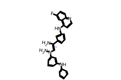 N/C(=C\N(N)c1cccc(Nc2ccccc2)c1)c1cccc(Nc2ccnc3ccc(F)cc23)c1